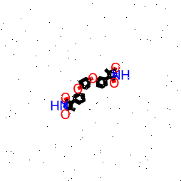 CC1=C(c2cccc(Oc3ccc(Oc4cccc(C5=C(C)C(=O)NC5=O)c4)cc3)c2)C(=O)NC1=O